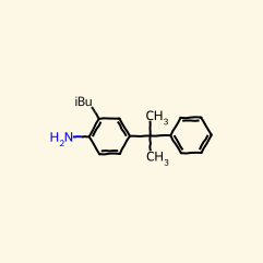 CCC(C)c1cc(C(C)(C)c2ccccc2)ccc1N